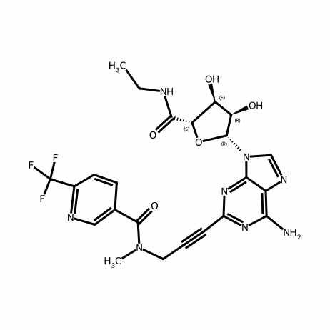 CCNC(=O)[C@H]1O[C@@H](n2cnc3c(N)nc(C#CCN(C)C(=O)c4ccc(C(F)(F)F)nc4)nc32)[C@H](O)[C@@H]1O